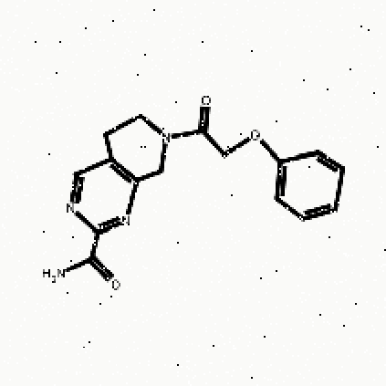 NC(=O)c1n[c]c2c(n1)CN(C(=O)COc1ccccc1)CC2